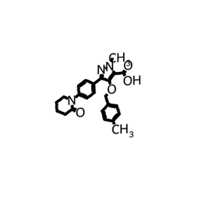 Cc1ccc(COc2c(-c3ccc(N4CCCCC4=O)cc3)nn(C)c2C(=O)O)cc1